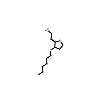 CCCCCCOC1CCOC1CCO